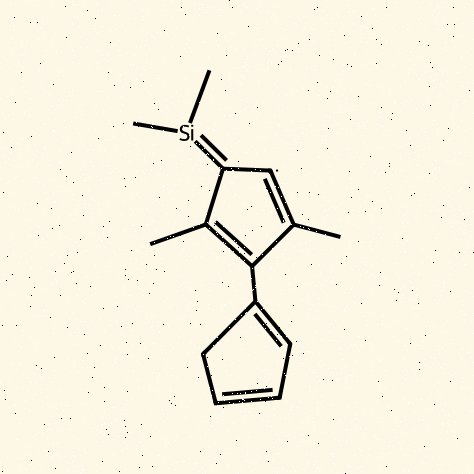 CC1=[C]C(=[Si](C)C)C(C)=C1C1=CC=CC1